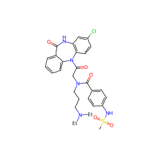 CCN(CC)CCCN(CC(=O)N1c2ccc(Cl)cc2NC(=O)c2ccccc21)C(=O)c1ccc(NS(C)(=O)=O)cc1